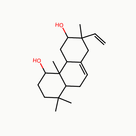 C=CC1(C)CC2=CCC3C(C)(C)CCC(O)C3(C)C2CC1O